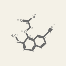 COc1ccc2ccc(C#N)cc2c1OCC(=O)O